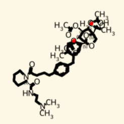 CC(=O)O[C@@H]1[C@@H](OC(C)=O)[C@@]2(c3ccc(C)c(Cc4ccc(CCCC(=O)N5CCCC[C@H]5C(=O)NCCN(C)C)cc4)c3)OC[C@](C(C)(C)O)(O2)[C@H]1OC(C)=O